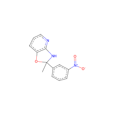 CC1(c2cccc([N+](=O)[O-])c2)Nc2ncccc2O1